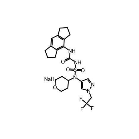 O=C(Nc1c2c(cc3c1CCC3)CCC2)NS(=O)(=O)N(c1cnn(CC(F)(F)F)c1)C1CCOCC1.[NaH]